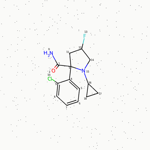 NC(=O)C1(c2ccccc2Cl)CC(F)CN1C1CC1